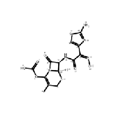 CC1=C(OC(=O)O)N2C(=O)[C@@H](NC(=O)/C(=N\O)c3c[se]c(N)n3)[C@H]2SC1